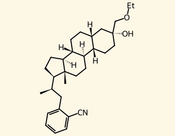 CCOC[C@@]1(O)CC[C@H]2[C@H](CC[C@@H]3[C@@H]2CC[C@]2(C)[C@@H]([C@H](C)Cc4ccccc4C#N)CC[C@@H]32)C1